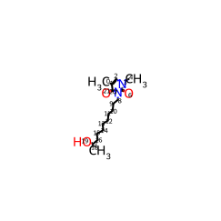 Cc1cn(C)c(=O)n(CCCCCCCCCC(C)O)c1=O